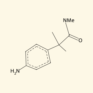 CNC(=O)C(C)(C)c1ccc(N)cc1